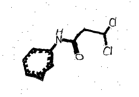 O=C([CH]C(Cl)Cl)Nc1ccccc1